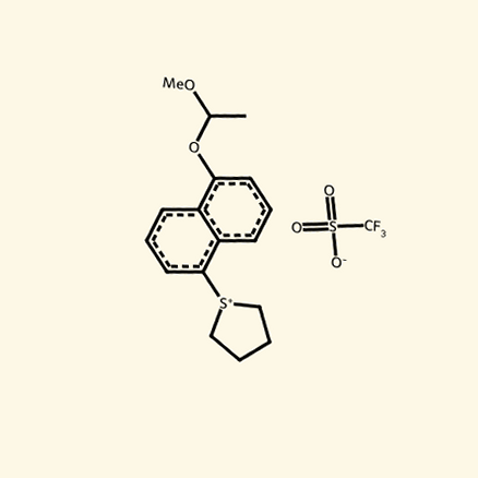 COC(C)Oc1cccc2c([S+]3CCCC3)cccc12.O=S(=O)([O-])C(F)(F)F